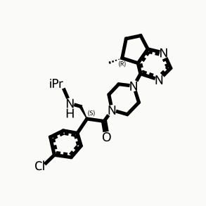 CC(C)NC[C@@H](C(=O)N1CCN(c2ncnc3c2[C@H](C)CC3)CC1)c1ccc(Cl)cc1